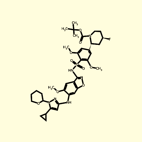 COc1cc2c(NS(=O)(=O)c3c(OC)cc([C@H]4C[C@H](F)CCN4C(=O)OC(C)(C)C)cc3OC)noc2cc1Nc1cc(C2CC2)n(C2CCCCO2)n1